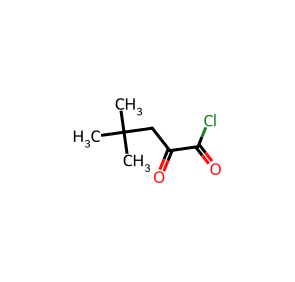 CC(C)(C)CC(=O)C(=O)Cl